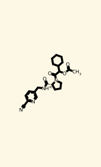 CC(=O)OC(C(=O)N1CCC[C@@H]1C(=O)NCc1ccc(C#N)nc1)C1CCCCC1